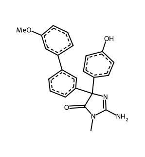 COc1cccc(-c2cccc(C3(c4ccc(O)cc4)N=C(N)N(C)C3=O)c2)c1